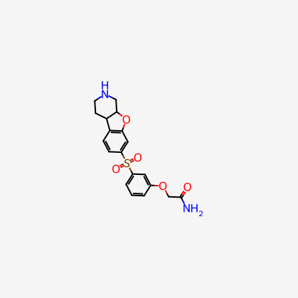 NC(=O)COc1cccc(S(=O)(=O)c2ccc3c(c2)OC2CNCCC32)c1